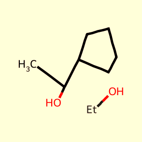 CC(O)C1CCCC1.CCO